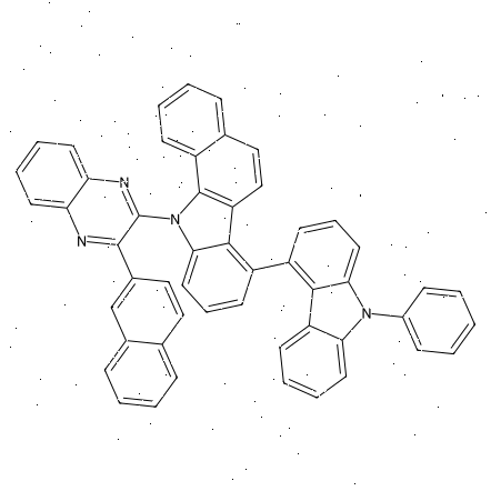 c1ccc(-n2c3ccccc3c3c(-c4cccc5c4c4ccc6ccccc6c4n5-c4nc5ccccc5nc4-c4ccc5ccccc5c4)cccc32)cc1